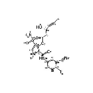 CC#C[C@@H](O)CCOc1c(S(N)(=O)=O)cn(C)c1C(=O)Nc1ccc(F)c(C#N)c1